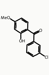 COc1ccc(C(=O)c2cccc(Cl)c2)c(O)c1